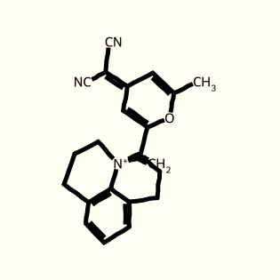 C=C(C1=CC(=C(C#N)C#N)C=C(C)O1)[N+]12CCCc3cccc(c31)CCC2